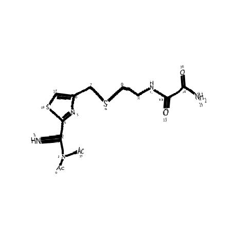 CC(=O)N(C(=N)c1nc(CSCCNC(=O)C(N)=O)cs1)C(C)=O